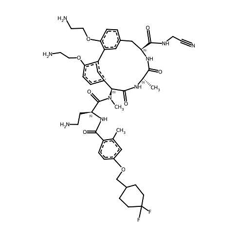 Cc1cc(OCC2CCC(F)(F)CC2)ccc1C(=O)N[C@@H](CCN)C(=O)N(C)[C@@H]1C(=O)N[C@@H](C)C(=O)N[C@H](C(=O)NCC#N)Cc2ccc(OCCN)c(c2)-c2cc1ccc2OCCN